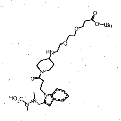 CN(Cc1cc2ccccc2n1CCC(=O)N1CCC(NCCOCCOCCC(=O)OC(C)(C)C)CC1)N(C)C(=O)O